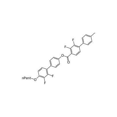 CCCCCOc1ccc(-c2ccc(OC(=O)c3ccc(-c4ccc(C)cc4)c(F)c3F)cc2)c(F)c1F